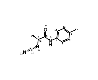 [CH2]c1ccc(NC(=O)[C@H](C)N=[N+]=[N-])cc1